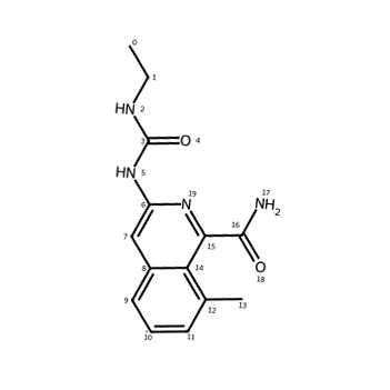 CCNC(=O)Nc1cc2c[c]cc(C)c2c(C(N)=O)n1